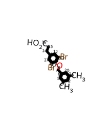 Cc1cc(C)cc(COc2c(Br)cc(CCC(=O)O)cc2Br)c1